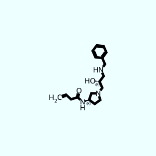 C=CCC(=O)N[C@@H]1CCN(C[C@H](O)CNCc2ccccc2)C1